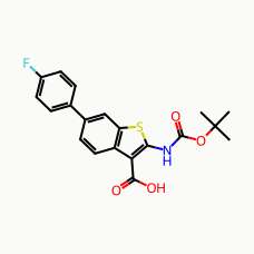 CC(C)(C)OC(=O)Nc1sc2cc(-c3ccc(F)cc3)ccc2c1C(=O)O